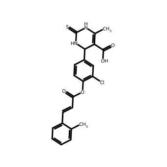 CC1=C(C(=O)O)C(c2ccc(OC(=O)C=Cc3ccccc3C)c(Cl)c2)NC(=S)N1